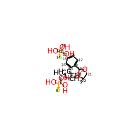 CC.CCC.OP(O)(O)=S.OP(O)(O)=S.c1ccc(C2OCCO2)cc1